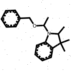 CC(OCc1ccccc1)N1c2ccccc2C(C)(C)C1C